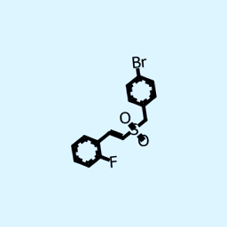 O=S(=O)(/C=C/c1ccccc1F)Cc1ccc(Br)cc1